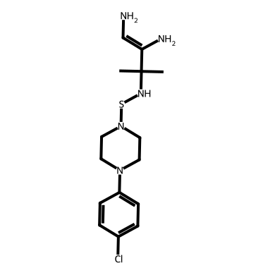 CC(C)(NSN1CCN(c2ccc(Cl)cc2)CC1)/C(N)=C/N